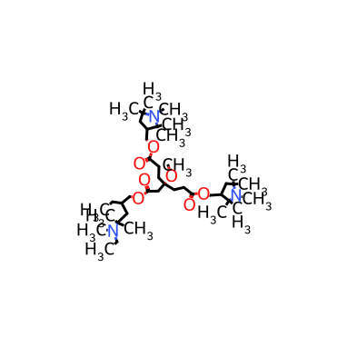 CCC(COC(=O)CC(CCC(=O)OCC1CC(C)(C)N(C)C1(C)C)(CCC(=O)OCC1CC(C)(C)N(C)C1(C)C)OC)CC(C)(C)N(C)CC